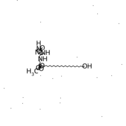 CCOP(=O)(CCCNCc1c[nH]c2c(=O)[nH]cnc12)OCCCCCCCCCCCCCCCCCCCCCO